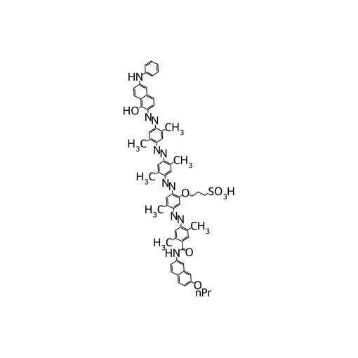 CCCOc1ccc2ccc(NC(=O)c3cc(C)c(N=Nc4cc(OCCCS(=O)(=O)O)c(N=Nc5cc(C)c(N=Nc6cc(C)c(N=Nc7ccc8cc(Nc9ccccc9)ccc8c7O)cc6C)cc5C)cc4C)cc3C)cc2c1